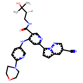 CC(C)(O)[C@H](F)CNC(=O)c1cnc(-c2ccc3cc(C#N)cnn23)cc1Nc1ccc(N2CCOCC2)nc1